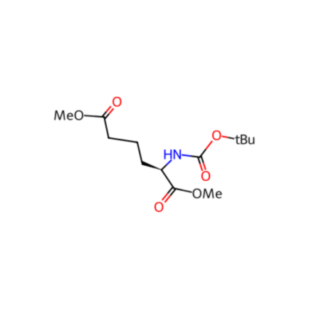 COC(=O)CCC[C@@H](NC(=O)OC(C)(C)C)C(=O)OC